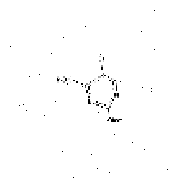 CCc1cnc(OC)nc1C(=O)O